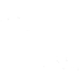 CCN1CCN(S(=O)(=O)c2ccccc2S(=O)(=O)Oc2cc(C)cc(OCCCON(C(=N)NC(=O)OC(C)(C)C)C(=O)OC(C)(C)C)c2)CC1